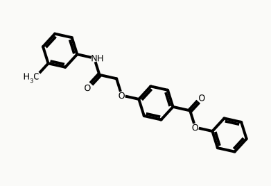 Cc1cccc(NC(=O)COc2ccc(C(=O)Oc3ccccc3)cc2)c1